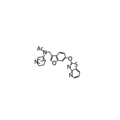 CC(=O)N(Cc1coc2cc(Oc3nc4ncccc4s3)ccc12)C1CN2CCC1CC2